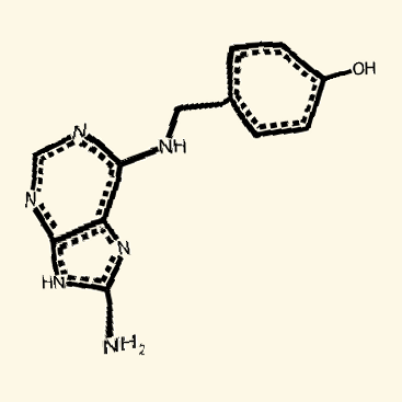 Nc1nc2c(NCc3ccc(O)cc3)ncnc2[nH]1